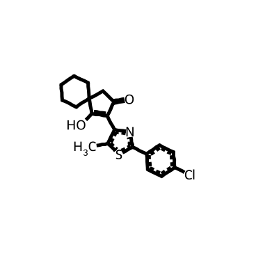 Cc1sc(-c2ccc(Cl)cc2)nc1C1=C(O)C2(CCCCC2)CC1=O